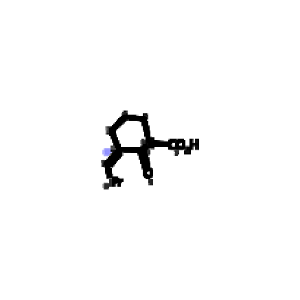 CC(C)/C=C1/CCCN(C(=O)O)C1=O